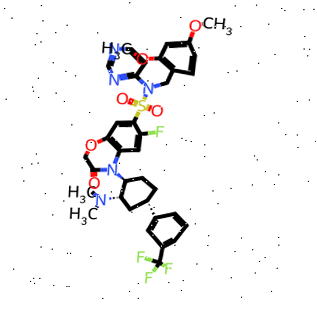 COc1ccc(CN(c2ccncn2)S(=O)(=O)c2cc3c(cc2F)N([C@H]2CC[C@H](c4cccc(C(F)(F)F)c4)C[C@@H]2N(C)C)C(=O)CO3)c(OC)c1